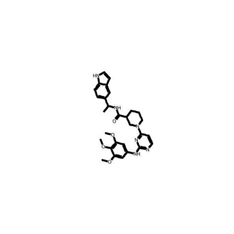 COc1cc(Nc2nccc(N3CCCC(C(=O)NC(C)c4ccc5[nH]ccc5c4)C3)n2)cc(OC)c1OC